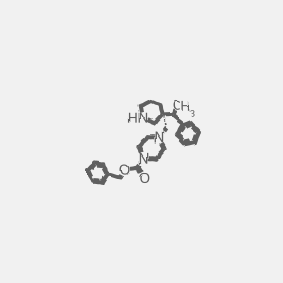 CC(c1ccccc1)[C@]1(CN2CCN(C(=O)OCc3ccccc3)CC2)CCCNC1